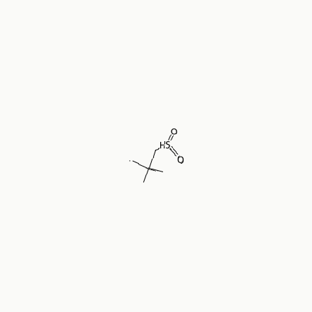 [CH2]C(C)(C)C[SH](=O)=O